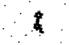 CCCc1cccc(C#CC2CCCCC2)c1